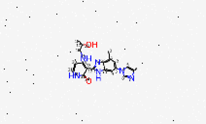 Cc1cc(-n2ccnc2)cc2[nH]c(-c3c(NCC(C)O)cc[nH]c3=O)nc12